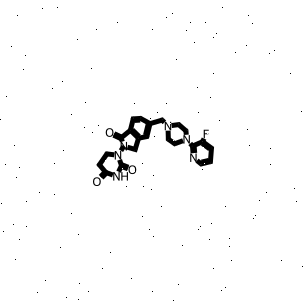 O=C1CCN(N2Cc3cc(CN4CCN(c5ncccc5F)CC4)ccc3C2=O)C(=O)N1